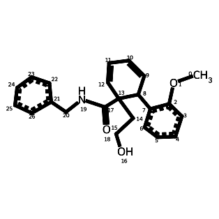 COc1ccccc1C1C=CC=CC1(CCO)C(=O)NCc1ccccc1